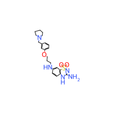 NC1=NS(=O)(=O)c2cc(NCCCOc3cccc(CN4CCCCC4)c3)ccc2N1